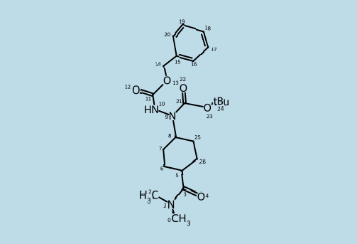 CN(C)C(=O)C1CCC(N(NC(=O)OCc2ccccc2)C(=O)OC(C)(C)C)CC1